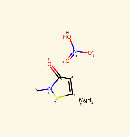 Cn1sccc1=O.O=[N+]([O-])O.[MgH2]